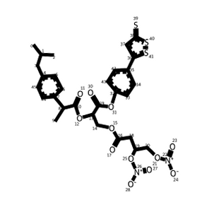 CC(C)Cc1ccc(C(C)C(=O)OC(COC(=O)CC(CO[N+](=O)[O-])O[N+](=O)[O-])C(=O)Oc2ccc(-c3cc(=S)ss3)cc2)cc1